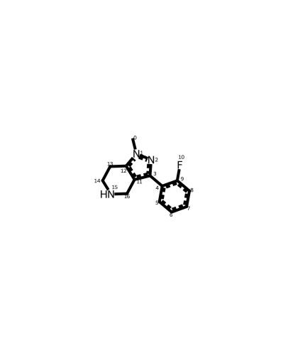 Cn1nc(-c2ccccc2F)c2c1CCNC2